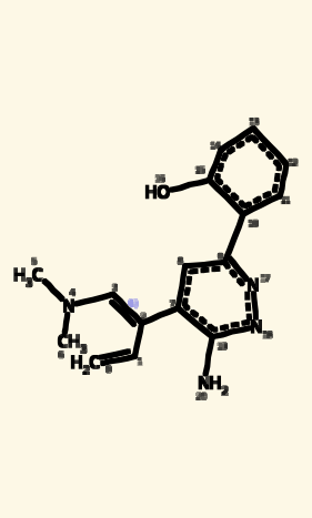 C=C/C(=C\N(C)C)c1cc(-c2ccccc2O)nnc1N